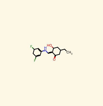 CCC1CC(=O)/C(=C/NC2=CC(F)CC(F)=C2)C(O)C1